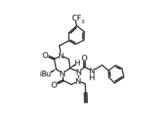 C#CCN1CC(=O)N2[C@@H](C(C)CC)C(=O)N(Cc3cccc(C(F)(F)F)c3)C[C@@H]2N1C(=O)NCc1ccccc1